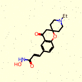 CCN1CCC2(CC1)CC(=O)c1cc(C=CC(=O)NO)ccc1O2